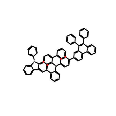 c1ccc(-c2ccccc2N(c2ccc(-c3ccc4c(c3)c(-c3ccccc3)c(-c3ccccc3)c3ccccc34)cc2)c2ccccc2-c2ccc3c(c2)c2ccccc2n3-c2ccccc2)cc1